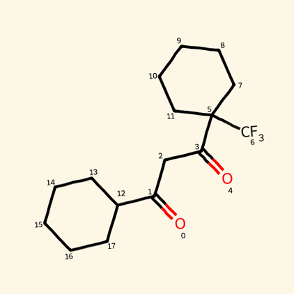 O=C(CC(=O)C1(C(F)(F)F)CCCCC1)C1CCCCC1